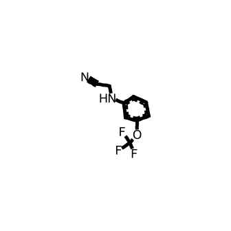 N#CCNc1cccc(OC(F)(F)F)c1